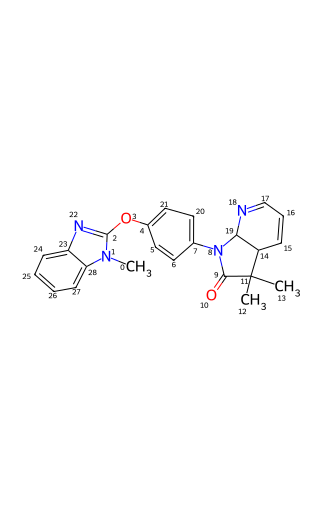 Cn1c(Oc2ccc(N3C(=O)C(C)(C)C4C=CC=NC43)cc2)nc2ccccc21